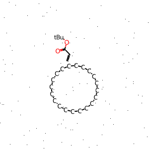 C1CCCCCCCCCCCCCCCCCCC1.C=CC(=O)OC(C)(C)C